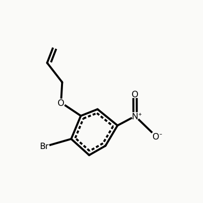 C=CCOc1cc([N+](=O)[O-])ccc1Br